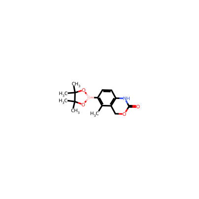 Cc1c(B2OC(C)(C)C(C)(C)O2)ccc2c1COC(=O)N2